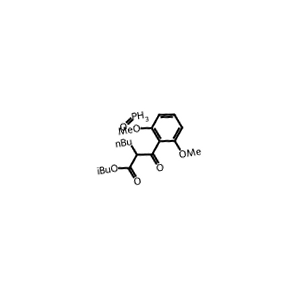 CCCCC(C(=O)OCC(C)C)C(=O)c1c(OC)cccc1OC.O=[PH3]